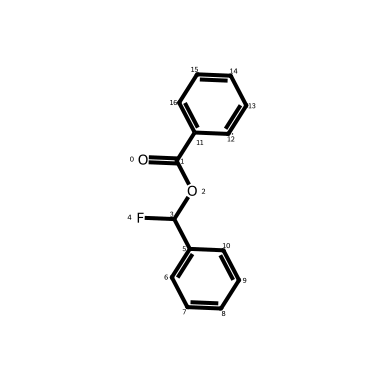 O=C(OC(F)c1ccccc1)c1[c]cccc1